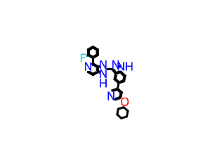 Fc1ccccc1-c1nccc2[nH]c(-c3n[nH]c4ccc(-c5cncc(OC6CCCCC6)c5)cc34)nc12